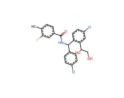 N#Cc1ccc(C(=O)NC(c2ccc(Cl)cc2)c2ccc(Cl)cc2C(O)CO)cc1F